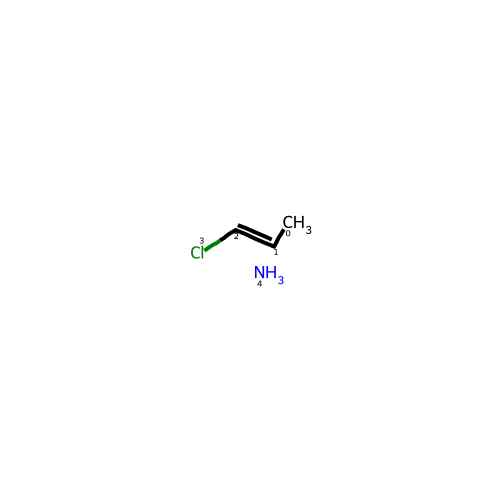 CC=CCl.N